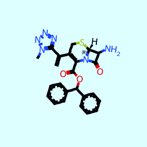 C=C(C1=C(C(=O)OC(c2ccccc2)c2ccccc2)N2C(=O)C(N)[C@H]2SC1)c1nnnn1C